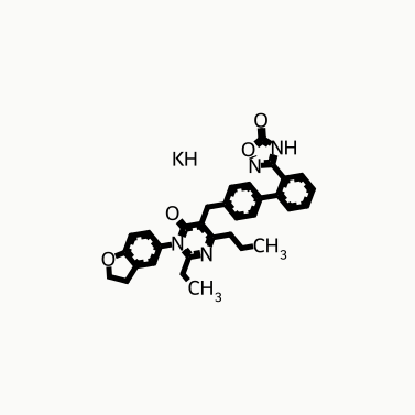 CCCc1nc(CC)n(-c2ccc3c(c2)CCO3)c(=O)c1Cc1ccc(-c2ccccc2-c2noc(=O)[nH]2)cc1.[KH]